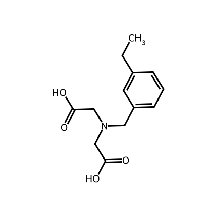 CCc1cccc(CN(CC(=O)O)CC(=O)O)c1